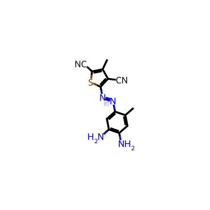 Cc1cc(N)c(N)cc1/N=N/c1sc(C#N)c(C)c1C#N